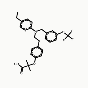 CCc1cnc(N(CCc2ccc(OC(C)(C)C(=O)O)cc2)Cc2cccc(OC(F)(F)F)c2)nc1